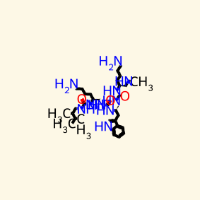 CNC[C@H](CCCCN)NC(=O)NC[C@H](Cc1c[nH]c2ccccc12)NC(=O)NC[C@H](CCCCN)NC(=O)NCC(C)C(C)C